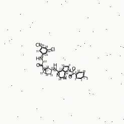 Cc1ccc(S(=O)(=O)n2ccc3c(NC4CC5CC4N(C(=O)CNc4cc(Cl)cc(Cl)c4)C5)ncnc32)cc1